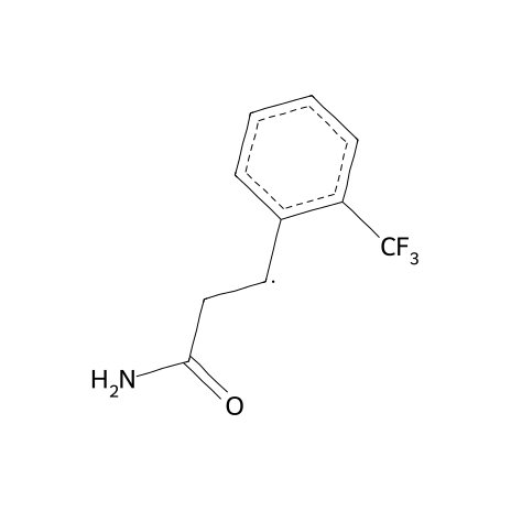 NC(=O)C[CH]c1ccccc1C(F)(F)F